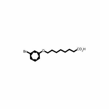 O=C(O)CCCCCCCOc1cccc(Br)c1